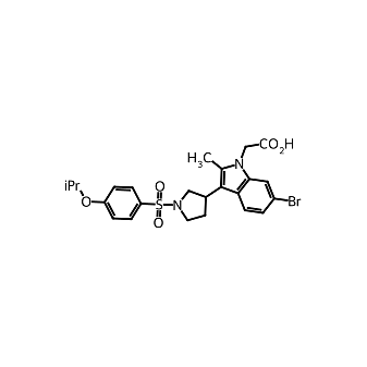 Cc1c(C2CCN(S(=O)(=O)c3ccc(OC(C)C)cc3)C2)c2ccc(Br)cc2n1CC(=O)O